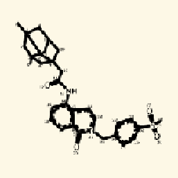 CC12CC3CC(C)(C1)CC(CC(=O)Nc1cccc4c(=O)n(Cc5ccc(S(C)(=O)=O)cc5)ccc14)(C3)C2